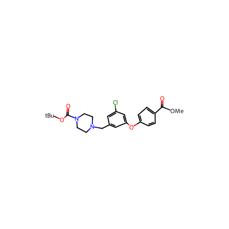 COC(=O)c1ccc(Oc2cc(Cl)cc(CN3CCN(C(=O)OC(C)(C)C)CC3)c2)cc1